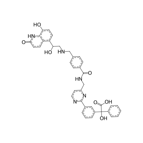 O=C(NCc1ccnc(-c2cccc(C(O)(C(=O)O)c3ccccc3)c2)n1)c1ccc(CNCC(O)c2ccc(O)c3[nH]c(=O)ccc23)cc1